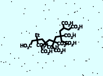 CCC(CC(=O)O)(CC(CC(=O)O)(CC(CC(=O)O)(CC(CC(=O)O)(CC(CC(=O)O)C(=O)O)C(=O)O)C(=O)O)C(=O)O)C(=O)O